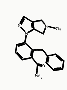 N#CN1Cc2cnn(-c3cccc(C(N)=O)c3Cc3ccccc3)c2C1